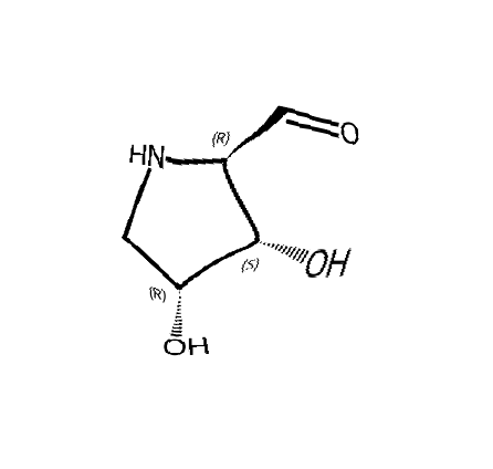 O=C[C@@H]1NC[C@@H](O)[C@H]1O